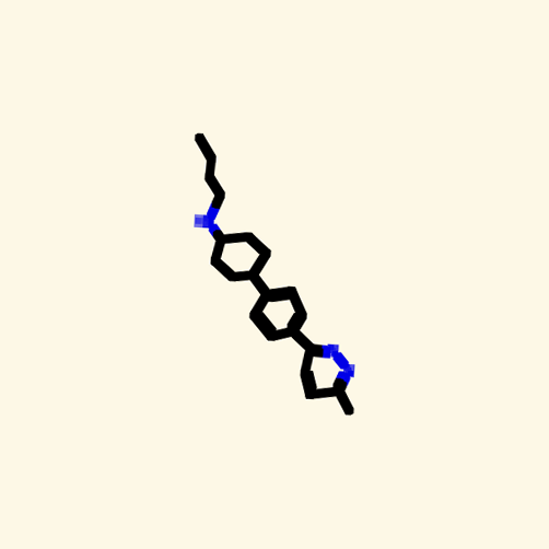 CCCCNC1CCC(c2ccc(-c3ccc(C)nn3)cc2)CC1